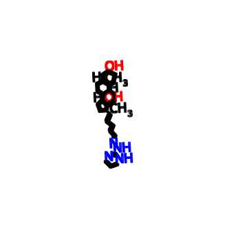 C[C@]12CC[C@H](O)C[C@H]1CC[C@@H]1[C@@H]2CC[C@]2(C)[C@@H](/C=C/C=C/C=N/NC3=NCCCN3)CC[C@]12O